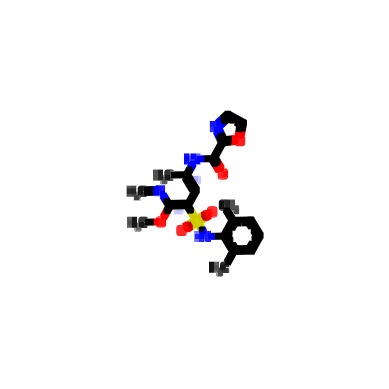 C=N/C(OC)=C(\C=C(/C)NC(=O)c1ncco1)S(=O)(=O)Nc1c(C)cccc1C